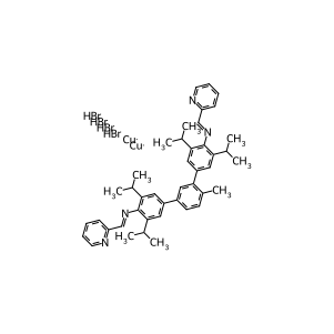 Br.Br.Br.Br.Cc1ccc(-c2cc(C(C)C)c(N=Cc3ccccn3)c(C(C)C)c2)cc1-c1cc(C(C)C)c(N=Cc2ccccn2)c(C(C)C)c1.[Cu].[Cu]